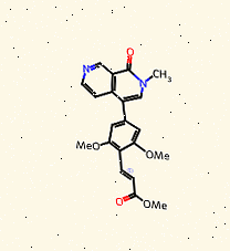 COC(=O)/C=C/c1c(OC)cc(-c2cn(C)c(=O)c3cnccc23)cc1OC